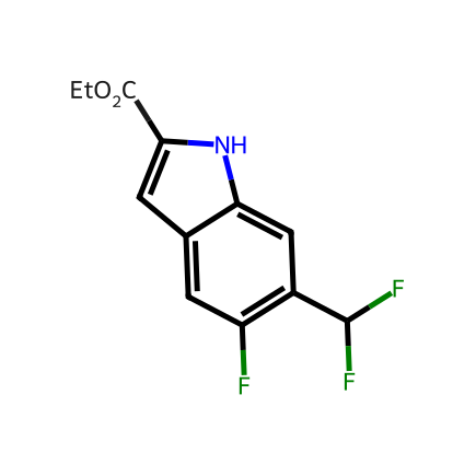 CCOC(=O)c1cc2cc(F)c(C(F)F)cc2[nH]1